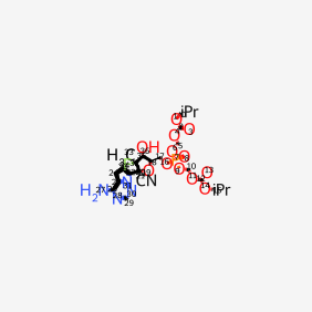 CC(C)OC(=O)OCOP(=O)(OCOC(=O)OC(C)C)OC[C@H]1O[C@@](C#N)(c2ccc3c(N)ncnn23)[C@](C)(F)[C@@H]1O